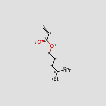 C=CC(=O)OCCCC(CC)CCC